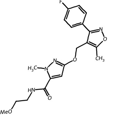 COCCNC(=O)c1cc(OCc2c(-c3ccc(F)cc3)noc2C)nn1C